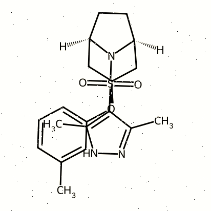 Cc1cccc(O[C@H]2C[C@H]3CC[C@@H](C2)N3S(=O)(=O)c2c(C)n[nH]c2C)c1